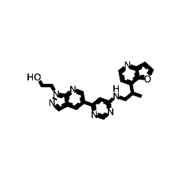 CC(CNc1cc(-c2cnc3c(cnn3CCO)c2)ncn1)c1ccnc2ccoc12